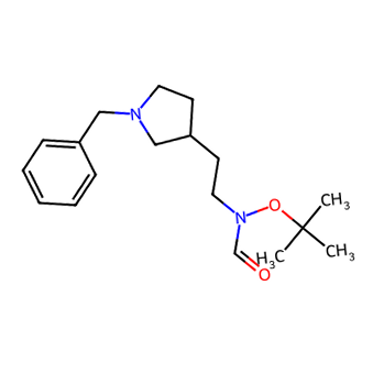 CC(C)(C)ON(C=O)CCC1CCN(Cc2ccccc2)C1